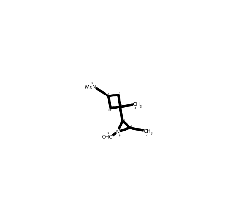 CNC1CC(C)(C2C(C)N2C=O)C1